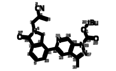 C=C(C#N)CN1Cc2c(cccc2-c2cc3c(C)nn(C(=O)OC(C)(C)C)c3cn2)C1=O